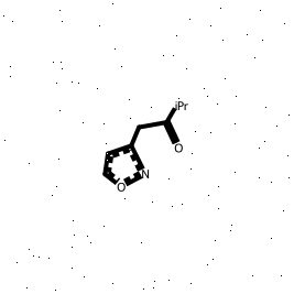 CC(C)C(=O)Cc1ccon1